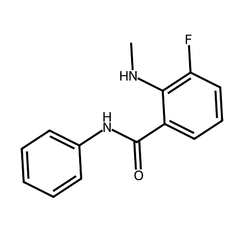 CNc1c(F)cccc1C(=O)Nc1ccccc1